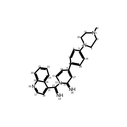 CN1CCN(c2ccc(-c3ccn(C(=N)c4ccnc5ccccc45)c(=N)c3)cc2)CC1